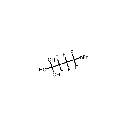 CCCC(F)(F)C(F)(F)C(F)(F)C(O)(O)O